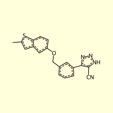 Cc1cc2cc(OCc3cccc(-c4nn[nH]c4C#N)c3)ccc2s1